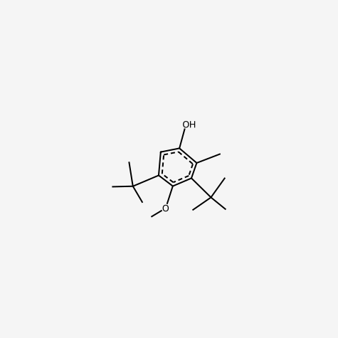 COc1c(C(C)(C)C)cc(O)c(C)c1C(C)(C)C